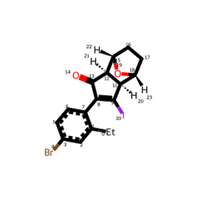 CCc1cc(Br)ccc1C1=C(I)[C@H]2[C@@H](C1=O)[C@@H]1CC[C@H]2O1